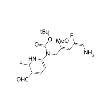 CO/C(=C\C(F)=C/N)CN(C(=O)OC(C)(C)C)C1=CC=C(C=O)C(F)N1